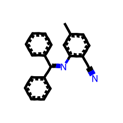 Cc1ccc(C#N)c(N=C(c2ccccc2)c2ccccc2)c1